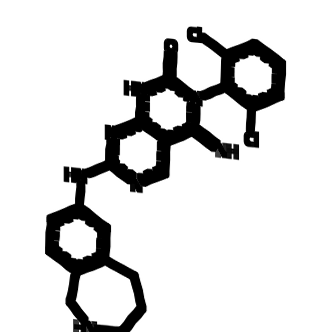 N=c1c2cnc(Nc3ccc4c(c3)CCCNC4)nc2[nH]c(=O)n1-c1c(Cl)cccc1Cl